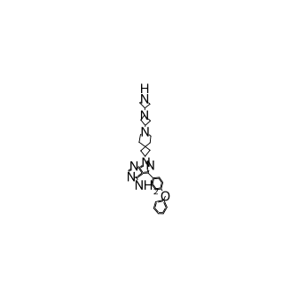 Nc1ncnc2c1c(-c1ccc(Oc3ccccc3)cc1)nn2C1CC2(CCN(C3CN(C4CNC4)C3)CC2)C1